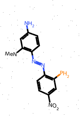 CNc1cc(N)ccc1/N=N/c1ccc([N+](=O)[O-])cc1P